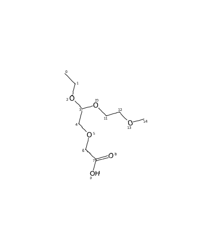 CCOC(COCC(=O)O)OCCOC